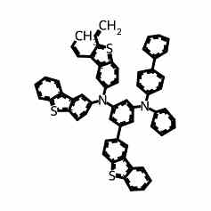 C=Cc1sc2ccc(N(c3cc(-c4ccc5sc6ccccc6c5c4)cc(N(c4ccccc4)c4ccc(-c5ccccc5)cc4)c3)c3ccc4sc5ccccc5c4c3)cc2c1/C=C\C